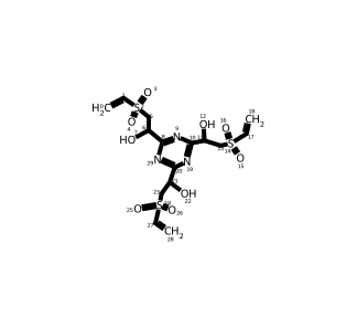 C=CS(=O)(=O)CC(O)c1nc(C(O)CS(=O)(=O)C=C)nc(C(O)CS(=O)(=O)C=C)n1